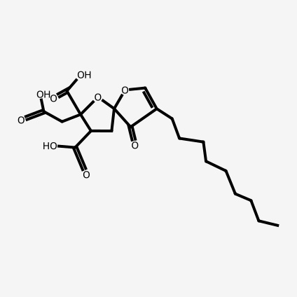 CCCCCCCCCC1=COC2(CC(C(=O)O)C(CC(=O)O)(C(=O)O)O2)C1=O